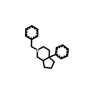 c1ccc(CN2CCC3(c4ccccc4)CCCC3C2)cc1